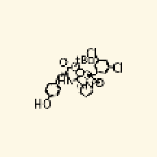 CC(C)(C)OC(=O)[C@H](Cc1ccc(O)cc1)NC(=O)[C@@H]1CCCN1S(=O)(=O)c1cc(Cl)cc(Cl)c1